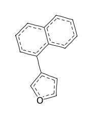 c1ccc2c(-c3ccoc3)cccc2c1